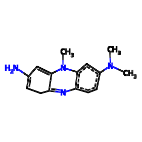 CN(C)c1ccc2c(c1)N(C)C1=CC(N)=CCC1=N2